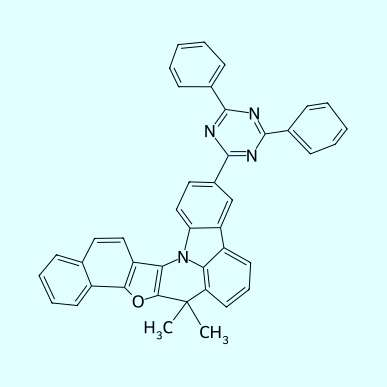 CC1(C)c2oc3c(ccc4ccccc43)c2-n2c3ccc(-c4nc(-c5ccccc5)nc(-c5ccccc5)n4)cc3c3cccc1c32